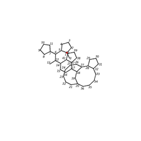 CC1CCCC1C(C1CCCC1)C(C)C1CCC(C2CC3CCCCCCC2C2CCCC2CCCC3)C2CCCC12